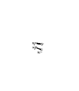 [Ni+2].[O-]P.[O-]P